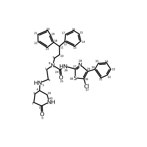 O=C1CCC(NCCN(CCC(c2ccccc2)c2ccccc2)C(=O)Nc2nc(-c3ccccc3)c(Cl)s2)CN1